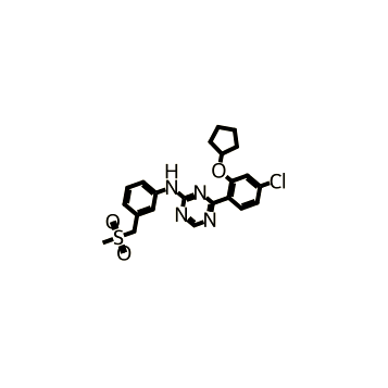 CS(=O)(=O)Cc1cccc(Nc2ncnc(-c3ccc(Cl)cc3OC3CCCC3)n2)c1